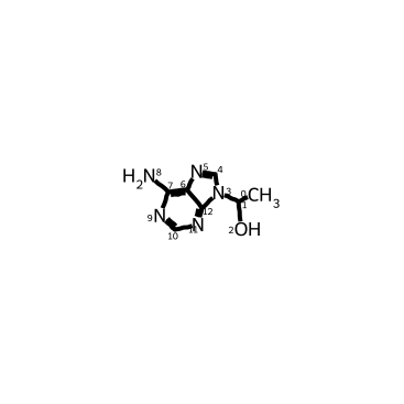 CC(O)n1cnc2c(N)ncnc21